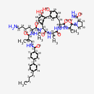 CCCCc1ccc(-c2ccc(C(=O)NC[C@@H](C)C(=O)N[C@@H](CCCCN)C(=O)N(C)C3C(=O)N[C@@H](C)C(=O)N[C@H](C(=O)N[C@@H](C)C(=O)N4CCC[C@H]4C(N)=O)Cc4ccc(O)c(c4)-c4cc3ccc4O)cc2)cc1